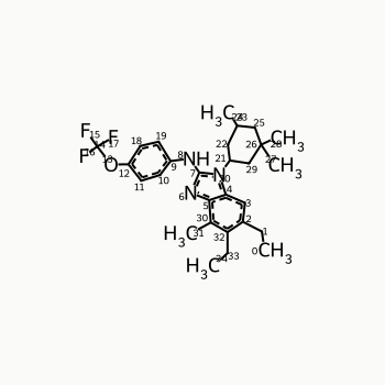 CCc1cc2c(nc(Nc3ccc(OC(F)(F)F)cc3)n2C2CC(C)CC(C)(C)C2)c(C)c1CC